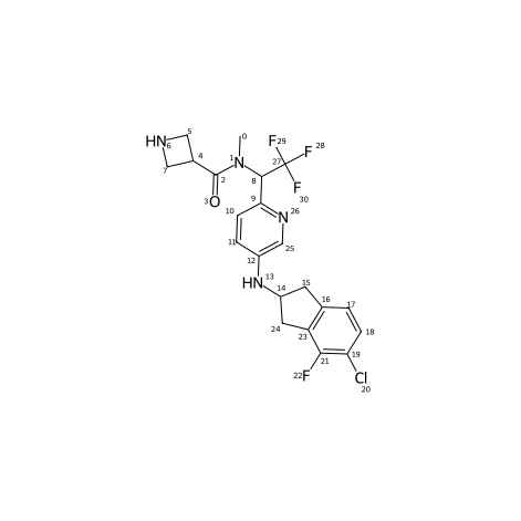 CN(C(=O)C1CNC1)C(c1ccc(NC2Cc3ccc(Cl)c(F)c3C2)cn1)C(F)(F)F